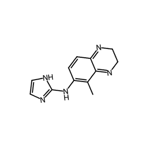 Cc1c(Nc2ncc[nH]2)ccc2c1=NCCN=2